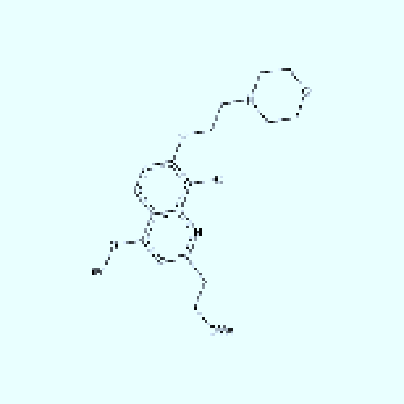 COCCc1cc(OC(C)C)c2ccc(OCCN3CCOCC3)c(Cl)c2n1